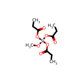 CCC(=O)O[Si](OC)(OC(=O)CC)OC(=O)CC